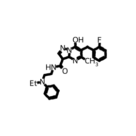 CCN(CCNC(=O)C1C=NN2C(O)=C(Cc3ccccc3F)C(C)=NC12)c1ccccc1